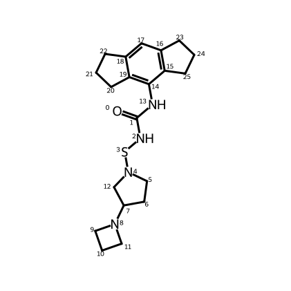 O=C(NSN1CCC(N2CCC2)C1)Nc1c2c(cc3c1CCC3)CCC2